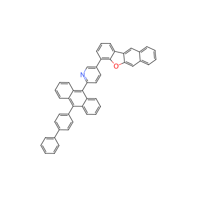 c1ccc(-c2ccc(-c3c4ccccc4c(-c4ccc(-c5cccc6c5oc5cc7ccccc7cc56)cn4)c4ccccc34)cc2)cc1